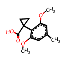 COc1cc(C)cc(OC)c1C1(C(=O)O)CC1